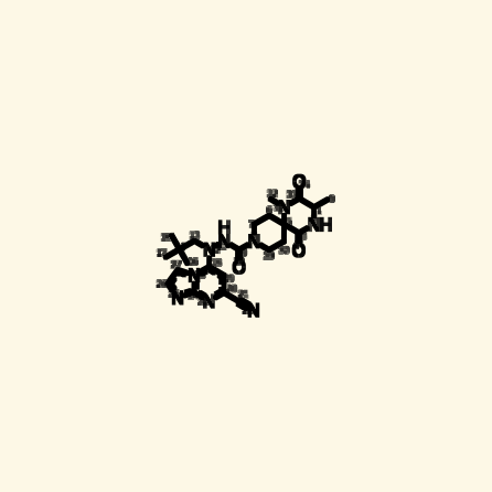 CC1NC(=O)C2(CCN(C(=O)NN(CC(C)(C)C)c3cc(C#N)nc4nccn34)CC2)N(C)C1=O